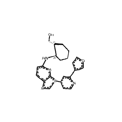 OC[C@@H]1CCCC[C@H]1Nc1ccc2ncn(-c3ccnc(-c4ccoc4)c3)c2n1